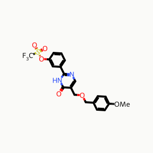 COc1ccc(COCc2cnc(-c3cccc(OS(=O)(=O)C(F)(F)F)c3)[nH]c2=O)cc1